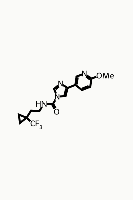 COc1ccc(-c2cn(C(=O)NCCC3(C(F)(F)F)CC3)cn2)cn1